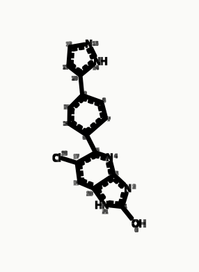 Oc1nc2nc(-c3ccc(-c4ccn[nH]4)cc3)c(Cl)cc2[nH]1